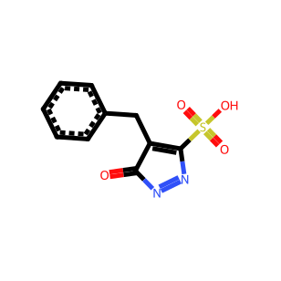 O=C1N=NC(S(=O)(=O)O)=C1Cc1ccccc1